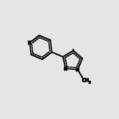 Cn1c[c]c(-c2ccncc2)n1